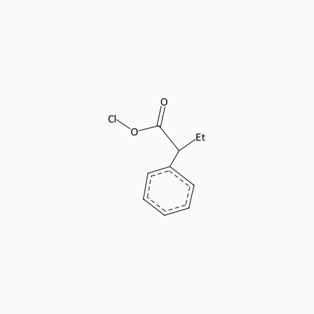 CCC(C(=O)OCl)c1ccccc1